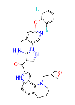 Cc1cc(Oc2c(F)cccc2F)ncc1-n1ncc(C(=O)c2cc3c4c(ccc3[nH]2)CCCN4CC2COC2)c1N